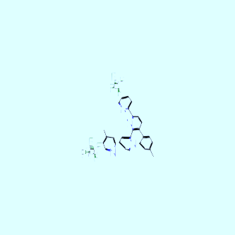 Cc1ccc(-c2ccc(-c3ccccn3)nc2-c2ccccn2)cc1.Cc1ccncc1.F[B-](F)(F)F.F[B-](F)(F)F.[Pt+2]